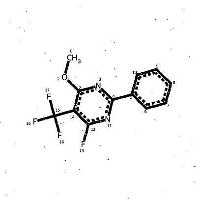 COc1nc(-c2ccccc2)nc(F)c1C(F)(F)F